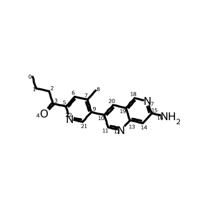 CCCC(=O)c1cc(C)c(-c2cnc3cc(N)ncc3c2)cn1